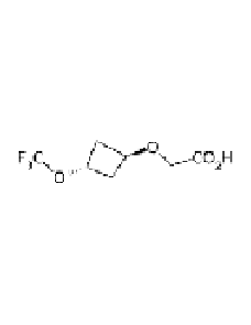 O=C(O)CO[C@H]1C[C@H](OC(F)(F)F)C1